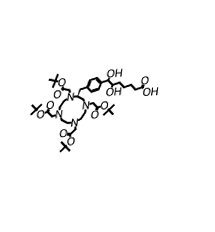 CC(C)(C)OC(=O)CN1CCN(CC(=O)OC(C)(C)C)CCN(CC(=O)OC(C)(C)C)[C@@H](Cc2ccc(C(O)C(O)CCCCC(=O)O)cc2)CN(CC(=O)OC(C)(C)C)CC1